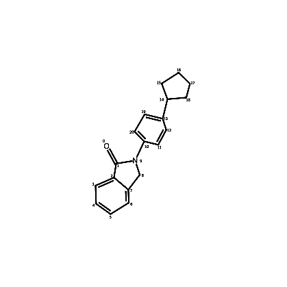 O=C1c2ccccc2CN1c1ccc(C2CCCC2)cc1